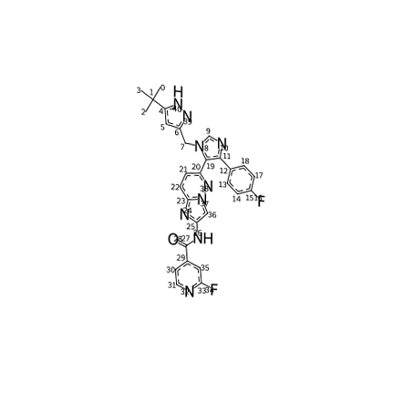 CC(C)(C)c1cc(Cn2cnc(-c3ccc(F)cc3)c2-c2ccc3nc(NC(=O)c4ccnc(F)c4)cn3n2)n[nH]1